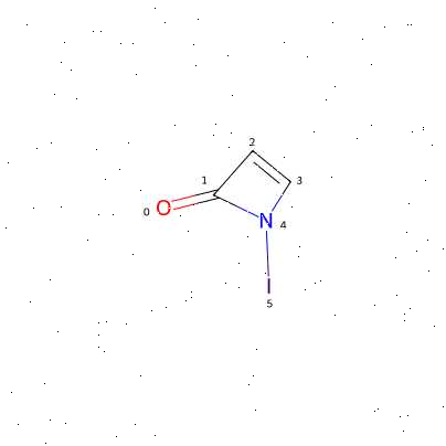 O=C1C=CN1I